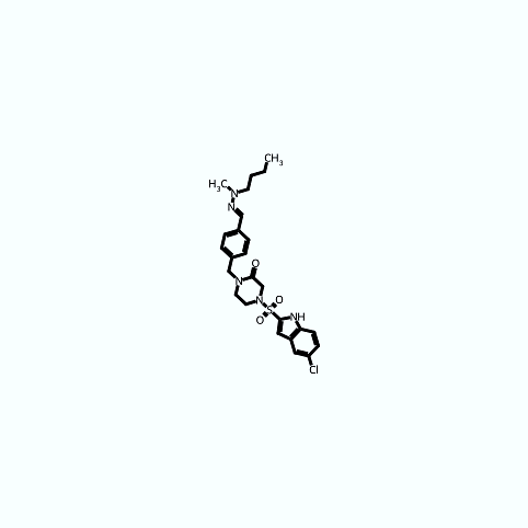 CCCCN(C)/N=C/c1ccc(CN2CCN(S(=O)(=O)c3cc4cc(Cl)ccc4[nH]3)CC2=O)cc1